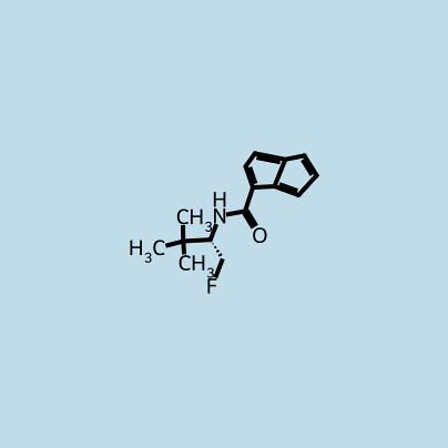 CC(C)(C)[C@@H](CF)NC(=O)C1=CC=C2C=CC=C21